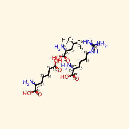 CC(C)C[C@H](N)C(=O)O.N=C(N)NCCCC[C@H](N)C(=O)O.NC(CCCCC(=O)O)C(=O)O